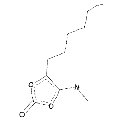 CCCCCCc1oc(=O)oc1[N]C